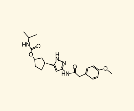 COc1ccc(CC(=O)Nc2cc([C@H]3CCC(OC(=O)NC(C)C)C3)[nH]n2)cc1